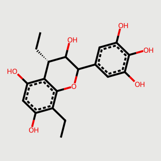 CCc1c(O)cc(O)c2c1OC(c1cc(O)c(O)c(O)c1)C(O)[C@H]2CC